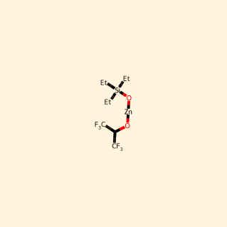 CC[Si](CC)(CC)[O][Zn][O]C(C(F)(F)F)C(F)(F)F